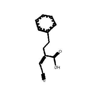 N#C/C=C(/CCc1ccccc1)C(=O)O